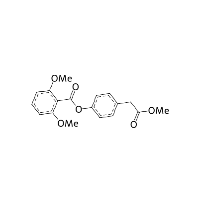 COC(=O)Cc1ccc(OC(=O)c2c(OC)cccc2OC)cc1